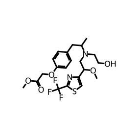 COC(=O)COc1ccc(CC(C)N(CCO)CC(OC)c2csc(C(F)(F)F)n2)cc1